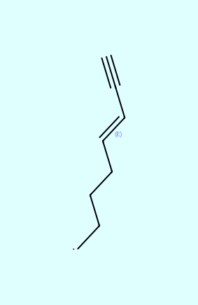 C#C/C=C/CCC[CH2]